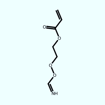 C=CC(=O)OCCOOC=N